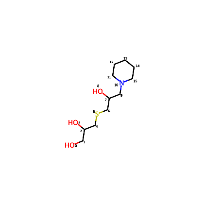 OCC(O)CSCC(O)CN1CCCCC1